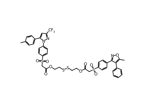 Cc1ccc(-c2cc(C(F)(F)F)nn2-c2ccc(S(=O)(=O)CC(=O)OCCSSCCOC(=O)CS(=O)(=O)c3ccc(-c4noc(C)c4-c4ccccc4)cc3)cc2)cc1